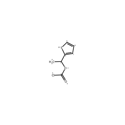 CC(OC(=O)Cl)c1cccs1